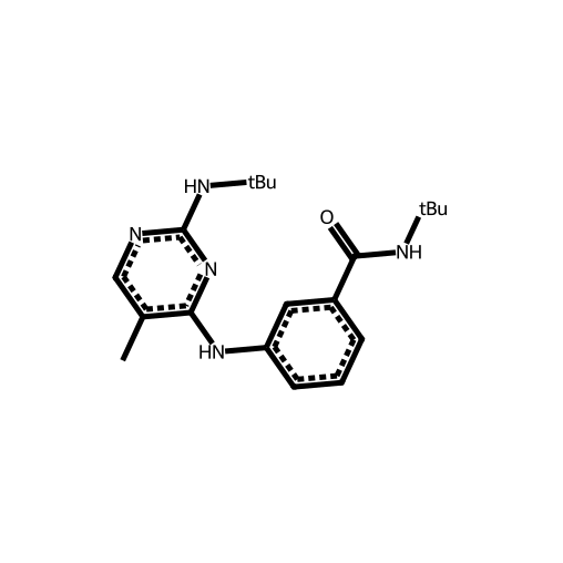 Cc1cnc(NC(C)(C)C)nc1Nc1cccc(C(=O)NC(C)(C)C)c1